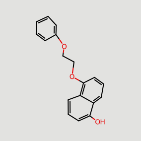 Oc1cccc2c(OCCOc3ccccc3)cccc12